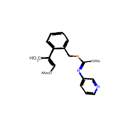 COC=C(C(=O)O)c1ccccc1CSC(=Nc1cccnc1)SC